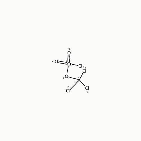 [O]=[Cr](=[O])([Cl])[O]C(Cl)(Cl)Cl